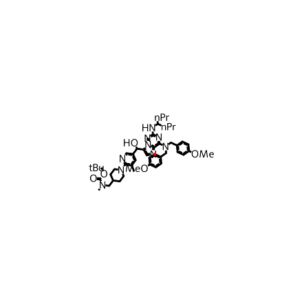 CCCC(CCC)Nc1nc(N(Cc2ccc(OC)cc2)Cc2ccc(OC)cc2)c2ncc(C(O)c3cnc(N4CCC(CN(C)C(=O)OC(C)(C)C)CC4)c(C)c3)n2n1